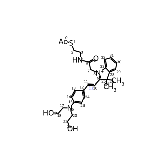 CC(=O)SCCNC(=O)C[N+]1=C(/C=C/c2ccc(N(CCO)CCO)cc2)C(C)(C)c2ccccc21